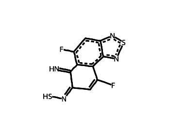 N=C1/C(=N\S)C=C(F)c2c1c(F)cc1nsnc21